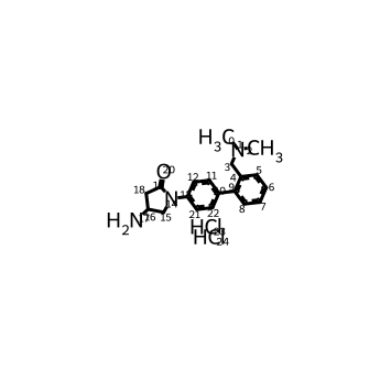 CN(C)Cc1ccccc1-c1ccc(N2CC(N)CC2=O)cc1.Cl.Cl